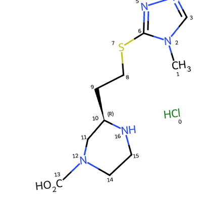 Cl.Cn1cnnc1SCC[C@@H]1CN(C(=O)O)CCN1